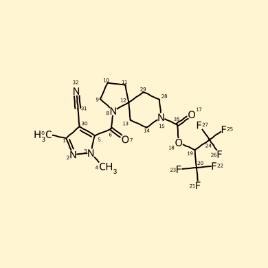 Cc1nn(C)c(C(=O)N2CCCC23CCN(C(=O)OC(C(F)(F)F)C(F)(F)F)CC3)c1C#N